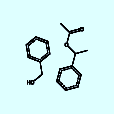 CC(=O)OC(C)c1ccccc1.OCc1ccccc1